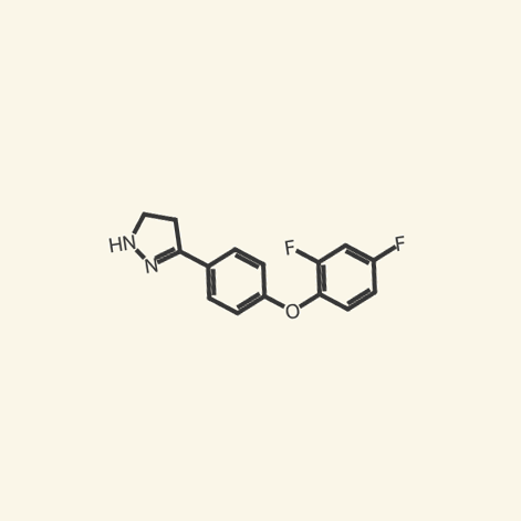 Fc1ccc(Oc2ccc(C3=NNCC3)cc2)c(F)c1